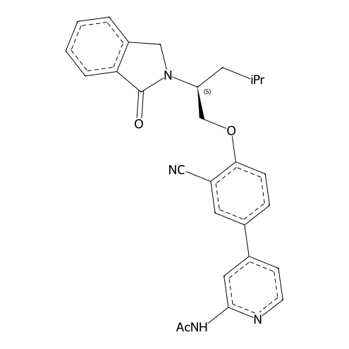 CC(=O)Nc1cc(-c2ccc(OC[C@H](CC(C)C)N3Cc4ccccc4C3=O)c(C#N)c2)ccn1